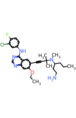 CCCC(CCN)N(C)C(C)(C)C#Cc1cc2c(Nc3ccc(F)c(Cl)c3)ncnc2cc1OCC